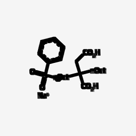 CCCCCCCCC(CCCCCCCC)(CC(=O)O)C(=O)O.O=S(=O)([O-])c1ccccc1.[Na+]